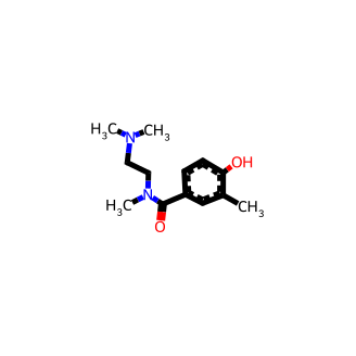 Cc1cc(C(=O)N(C)CCN(C)C)ccc1O